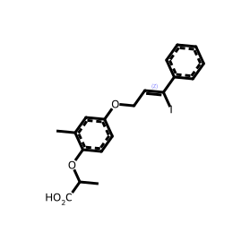 Cc1cc(OC/C=C(\I)c2ccccc2)ccc1OC(C)C(=O)O